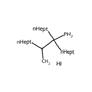 CCCCCCCC(C)C(P)(CCCCCCC)CCCCCCC.I